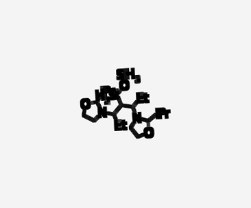 CCC(C([SiH2]O[SiH3])C(CC)N1CCOC1C(C)C)N1CCOC1C(C)C